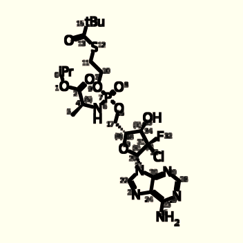 CC(C)OC(=O)[C@H](C)NP(=O)(OCCSC(=O)C(C)(C)C)OC[C@H]1O[C@@H](n2cnc3c(N)ncnc32)[C@@](F)(Cl)[C@@H]1O